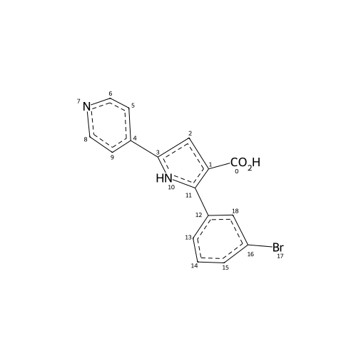 O=C(O)c1cc(-c2ccncc2)[nH]c1-c1cccc(Br)c1